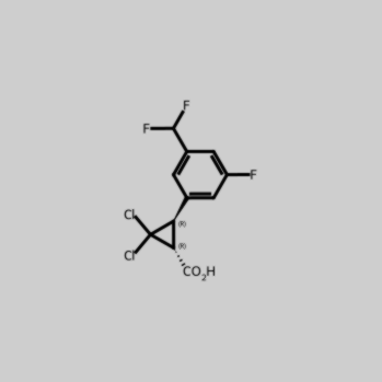 O=C(O)[C@H]1[C@H](c2cc(F)cc(C(F)F)c2)C1(Cl)Cl